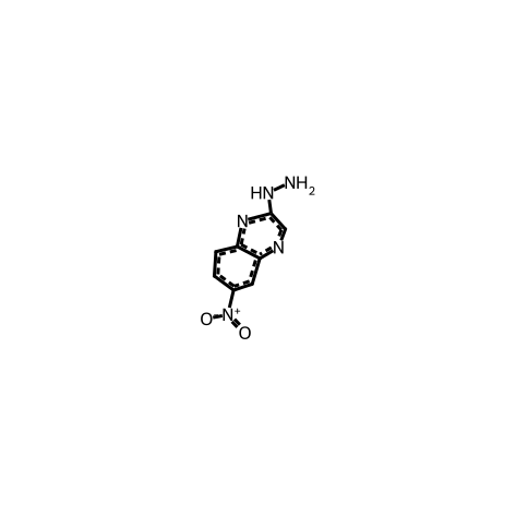 NNc1cnc2cc([N+](=O)[O-])ccc2n1